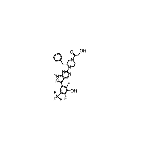 Cn1nc(-c2cc(C(F)(F)F)c(F)c(O)c2F)c2cnc(N3CCN(C(=O)CO)C[C@H]3Cc3ccccc3)nc21